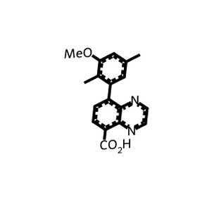 COc1cc(C)cc(-c2ccc(C(=O)O)c3nccnc23)c1C